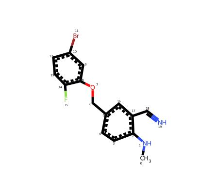 CNc1ccc(COc2cc(Br)ccc2F)cc1C=N